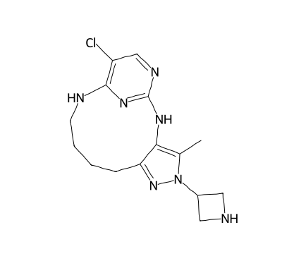 Cc1c2c(nn1C1CNC1)CCCCNc1nc(ncc1Cl)N2